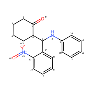 O=C1CCCCC1C(Nc1ccccc1)c1ccccc1[N+](=O)[O-]